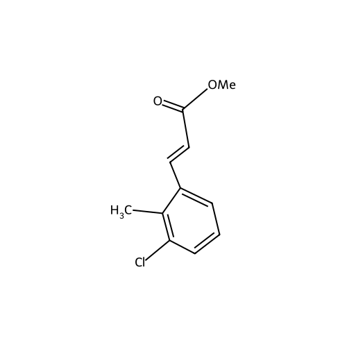 COC(=O)C=Cc1cccc(Cl)c1C